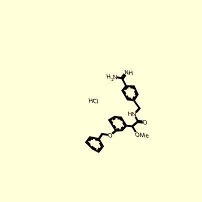 COC(C(=O)NCc1ccc(C(=N)N)cc1)c1cccc(OCc2ccccc2)c1.Cl